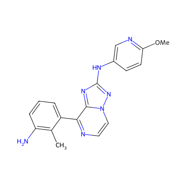 COc1ccc(Nc2nc3c(-c4cccc(N)c4C)nccn3n2)cn1